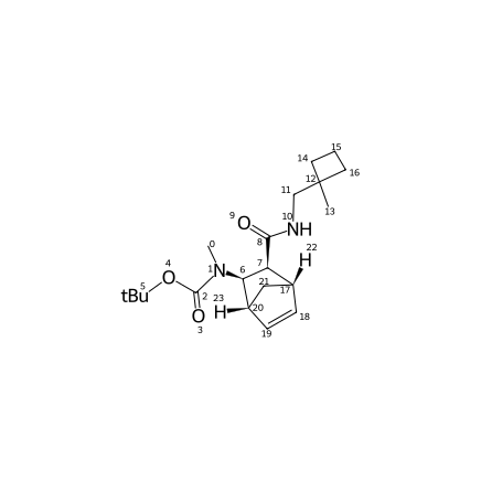 CN(C(=O)OC(C)(C)C)[C@H]1[C@@H](C(=O)NCC2(C)CCC2)[C@@H]2C=C[C@H]1C2